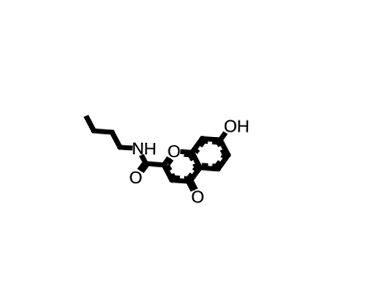 CCCCNC(=O)c1cc(=O)c2ccc(O)cc2o1